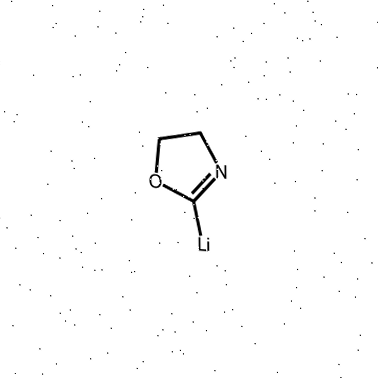 [Li][C]1=NCCO1